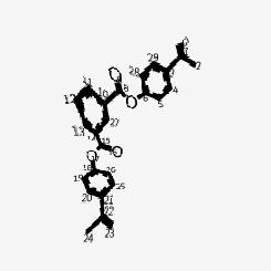 C=C(C)c1ccc(OC(=O)c2cccc(C(=O)Oc3ccc(C(=C)C)cc3)c2)cc1